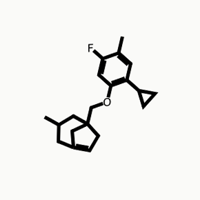 Cc1cc(C2CC2)c(OCC23CC=C(CC(C)C2)C3)cc1F